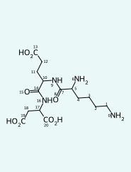 NCCCCC(N)C(=O)NC(CCC(=O)O)C(=O)NC(CC(=O)O)C(=O)O